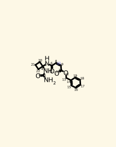 NC(=O)NC1(NC(=O)/C=C\C(=O)OCc2ccccc2)CCC1